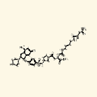 N#Cc1cc(Cl)cc2c1C[C@H](N1CCNCC1)[C@H]2Oc1ccc(S(=O)(=O)N[C@H]2CCN(C(=O)CC(NC(=O)NCCCCNC(=O)NCC(N)=O)C(N)=O)C2)cc1